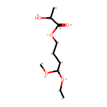 CCOC(CCCOC(=O)C(C)O)OC